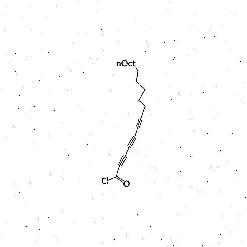 CCCCCCCCCCCCCC#CC#CC#CC(=O)Cl